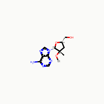 CCO[C@@]1(C)C[C@@H](CO)O[C@H]1n1cnc2c(N)ncnc21